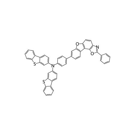 c1ccc(-c2nc3ccc4oc5cc(-c6ccc(N(c7ccc8c(c7)sc7ccccc78)c7ccc8c(c7)sc7ccccc78)cc6)ccc5c4c3o2)cc1